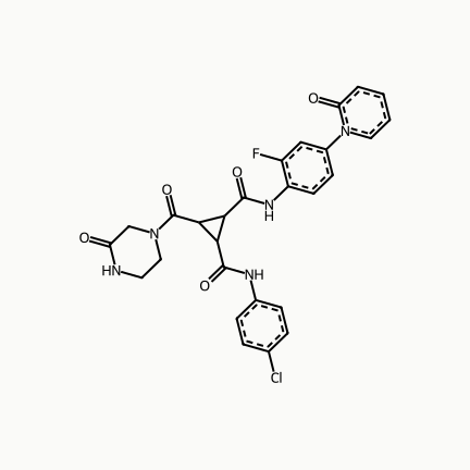 O=C1CN(C(=O)C2C(C(=O)Nc3ccc(Cl)cc3)C2C(=O)Nc2ccc(-n3ccccc3=O)cc2F)CCN1